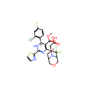 COC(=O)C1=C(CN2C3COCC2C(F)(F)[C@H](CC(=O)O)C3)N=C(c2nccs2)N[C@H]1c1ccc(F)cc1Cl